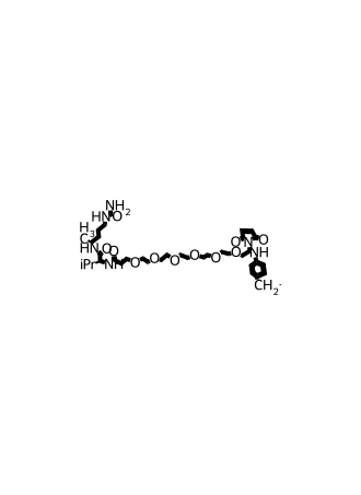 [CH2]c1ccc(NC(COCCOCCOCCOCCOCCOCCC(=O)N[C@H](C(=O)N[C@@H](C)CCCNC(N)=O)C(C)C)N2C(=O)C=CC2=O)cc1